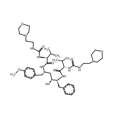 COc1ccc(CN(C[C@H](O)[C@H](Cc2ccccc2)NC(=O)[C@@H](NC(=O)NCCN2CCOCC2)C(C)C)NC(=O)[C@@H](NC(=O)NCCN2CCOCC2)C(C)C)cc1